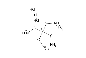 Cl.Cl.Cl.Cl.NCC(CN)(CN)CN